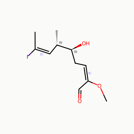 CO/C(C=O)=C/C[C@H](O)[C@@H](C)/C=C(\C)I